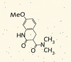 COc1ccc2c(c1)NC(=O)C(C(=O)N(C)C)C2